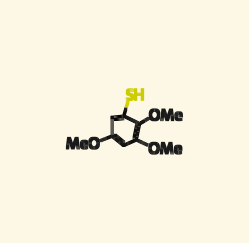 COc1cc(S)c(OC)c(OC)c1